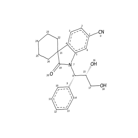 N#Cc1ccc2c(c1)N([C@@H](c1ccccc1)[C@H](O)CO)C(=O)C21CCCCC1